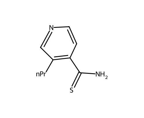 CCCc1cnccc1C(N)=S